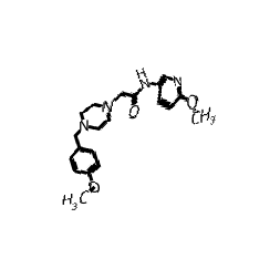 COc1ccc(CN2CCN(CC(=O)Nc3ccc(OC)nc3)CC2)cc1